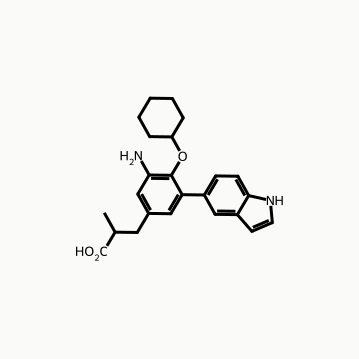 CC(Cc1cc(N)c(OC2CCCCC2)c(-c2ccc3[nH]ccc3c2)c1)C(=O)O